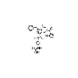 CC1CN(C(=O)c2ccc[nH]2)Cc2c(C(=O)NC3CC(NC(=O)O)C3)nn(Cc3ccc(F)cc3)c21